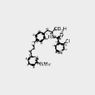 CNc1cccc(CCOc2ccc(C[C@H](NC(=O)c3ccncc3Cl)C(=O)O)cc2)n1